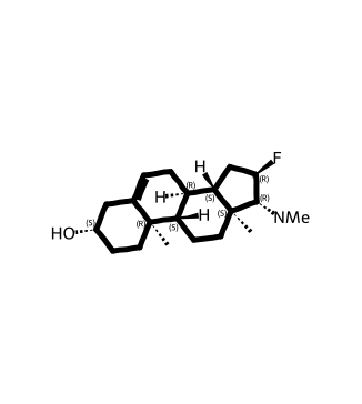 CN[C@H]1[C@H](F)C[C@H]2[C@@H]3CC=C4C[C@@H](O)CC[C@]4(C)[C@H]3CC[C@@]21C